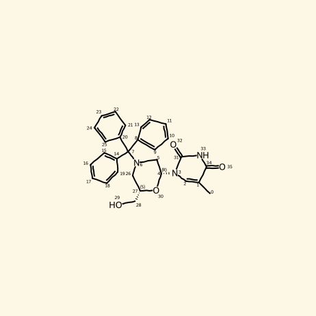 Cc1cn([C@H]2CN(C(c3ccccc3)(c3ccccc3)c3ccccc3)C[C@@H](CO)O2)c(=O)[nH]c1=O